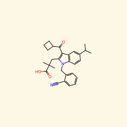 CC(C)c1ccc2c(c1)c(C(=O)C1CCC1)c(CC(C)(C)C(=O)O)n2Cc1ccccc1C#N